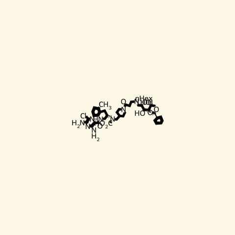 CCCCCCN(CCC(=O)N1CCC(CN(C[C@H](CNC(=O)c2nc(Cl)c(N)nc2N)Cc2ccccc2C)C(=O)O)CC1)C[C@H](O)[C@@H](O)[C@@H]1O[C@H](c2ccccc2)OC[C@H]1O